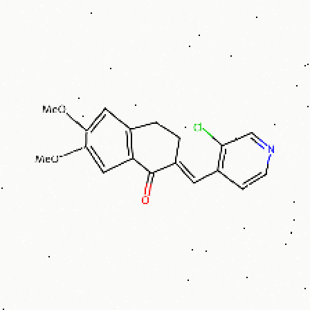 COc1cc2c(cc1OC)C(=O)/C(=C/c1ccncc1Cl)CC2